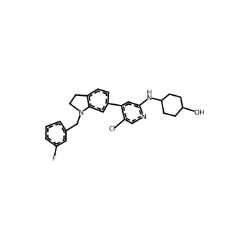 OC1CCC(Nc2cc(-c3ccc4c(c3)N(Cc3cccc(F)c3)CC4)c(Cl)cn2)CC1